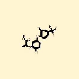 COC(=O)C(C)Sc1cc(Oc2ccc(C(F)(F)F)cc2Cl)ccc1Cl